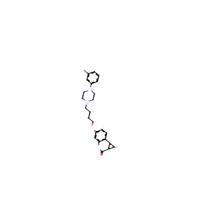 O=C1Nc2cc(OCCCCN3CCN(c4cccc(Cl)c4)CC3)ccc2C2CC12